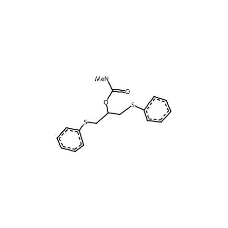 CNC(=O)OC(CSc1ccccc1)CSc1ccccc1